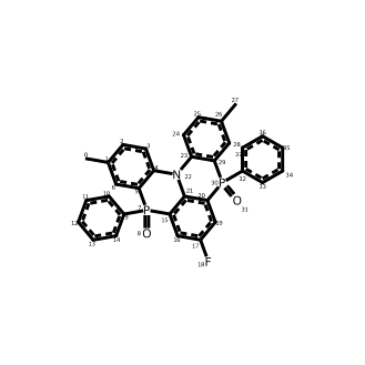 Cc1ccc2c(c1)P(=O)(c1ccccc1)c1cc(F)cc3c1N2c1ccc(C)cc1P3(=O)c1ccccc1